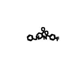 O=c1oc(-c2ccc(F)cc2)nc2c1CCN(Cc1ccccc1)C2